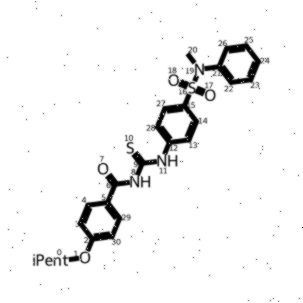 CCCC(C)Oc1ccc(C(=O)NC(=S)Nc2ccc(S(=O)(=O)N(C)c3ccccc3)cc2)cc1